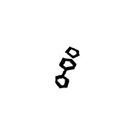 C1CCCC1.c1ccc(-c2ccccc2)cc1